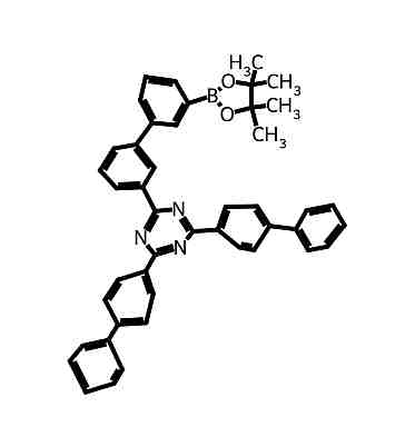 CC1(C)OB(c2cccc(-c3cccc(-c4nc(-c5ccc(-c6ccccc6)cc5)nc(-c5ccc(-c6ccccc6)cc5)n4)c3)c2)OC1(C)C